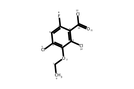 CCOc1c(Cl)cc(F)c(C(=O)Cl)c1Cl